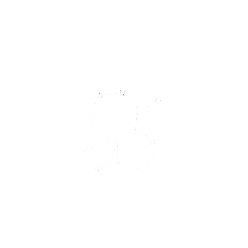 CN1N=Cc2csc3cccc(c23)C1=O